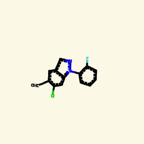 O=Cc1cc2cnn(-c3ccccc3F)c2cc1Cl